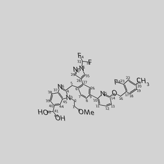 COCCn1c(Cc2ccc(-c3cccc(OCc4ccc(C)cc4F)n3)cc2-c2cnn(C(F)F)c2)nc2ccc(C(O)O)cc21